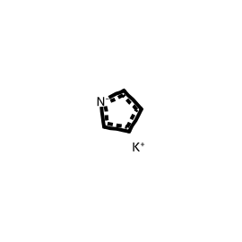 [K+].c1cc[n-]c1